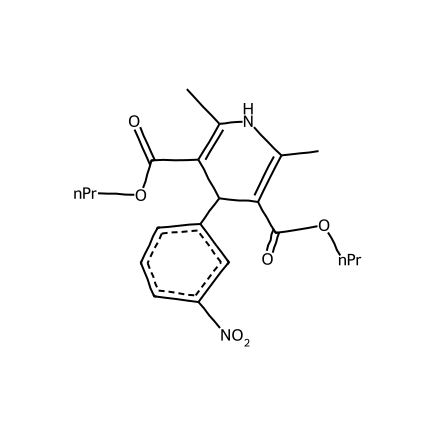 CCCOC(=O)C1=C(C)NC(C)=C(C(=O)OCCC)C1c1cccc([N+](=O)[O-])c1